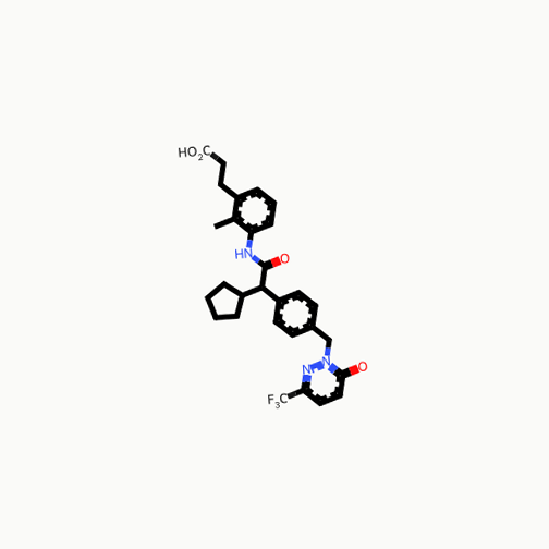 Cc1c(CCC(=O)O)cccc1NC(=O)C(c1ccc(Cn2nc(C(F)(F)F)ccc2=O)cc1)C1CCCC1